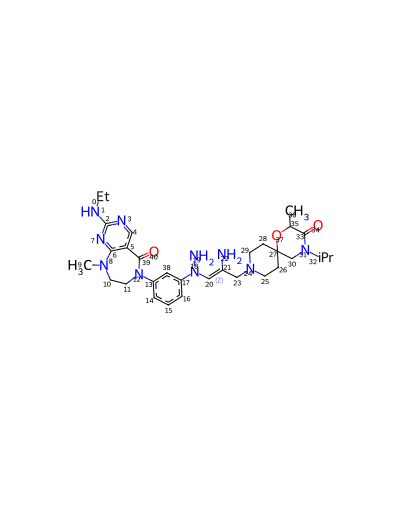 CCNc1ncc2c(n1)N(C)CCN(c1cccc(N(N)/C=C(\N)CN3CCC4(CC3)CN(C(C)C)C(=O)C(C)O4)c1)C2=O